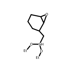 CCO[SiH](CC1CCCC2OC12)OCC